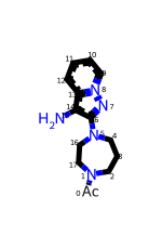 CC(=O)N1CCCN(c2nn3ccccc3c2N)CC1